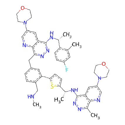 CNCc1ccc(Cc2nnc(N[C@H](C)c3ccc(F)cc3C)c3cc(N4CCOCC4)cnc23)cc1-c1ccc([C@@H](C)Nc2nnc(C)c3ncc(N4CCOCC4)cc23)s1